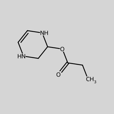 CCC(=O)OC1CNC=CN1